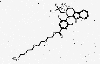 C[C@@H]1Cc2c([nH]c3ccccc23)[C@@H](c2c(F)cc(C(=O)NCCOCCOCCOCC(=O)O)cc2F)N1CC(C)(C)F